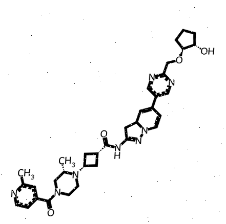 Cc1cc(C(=O)N2CCN([C@H]3C[C@@H](C(=O)NC4=NN5C=CC(c6cnc(CO[C@H]7CCC[C@@H]7O)nc6)=CC5C4)C3)[C@@H](C)C2)ccn1